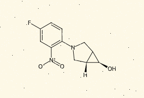 O=[N+]([O-])c1cc(F)ccc1N1CC2[C@@H](O)[C@@H]2C1